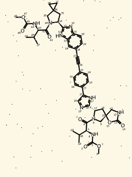 COC(=O)N[C@H](C(=O)N1C[C@]2(CNC(=O)O2)C[C@H]1c1ncc(-c2ccc(C#Cc3ccc4nc([C@@H]5CC6(CC6)CN5C(=O)[C@H](NC(=O)OC)C(C)C)[nH]c4c3)cc2)[nH]1)C(C)C